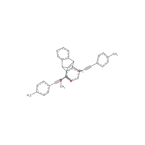 COC(=O)C1=C(C)C2c3ccccc3C1c1c(C#Cc3ccc(C)cc3)ccc(C#Cc3ccc(C)cc3)c12